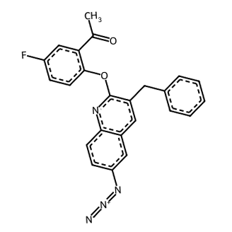 CC(=O)c1cc(F)ccc1Oc1nc2ccc(N=[N+]=[N-])cc2cc1Cc1ccccc1